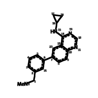 CNCc1cccc(-c2ccc3ncnc(NC4CC4)c3c2)c1